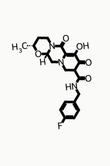 C[C@@H]1CCN2C(=O)C3=C(O)C(=O)C(C(=O)NCc4ccc(F)cc4)CN3C[C@@H]2O1